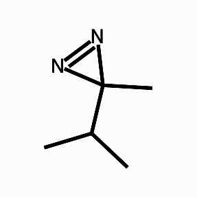 CC(C)C1(C)N=N1